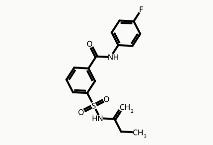 C=C(CC)NS(=O)(=O)c1cccc(C(=O)Nc2ccc(F)cc2)c1